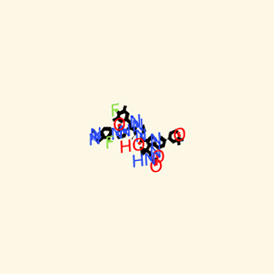 Cc1cc(-c2nn3c(c2-n2ccn(-c4ccc5c(cnn5C)c4F)c2=O)[C@@H](C)N(C(O)c2cn4cc([C@@H]5CCOC(C)(C)C5)ccc4c2C2(c4noc(=O)[nH]4)CC2)CC3)cc(C)c1F